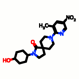 Cc1cc([N+](=O)[O-])cnc1N1CCC2(CC1)CCN(C1CCC(O)CC1)C2=O